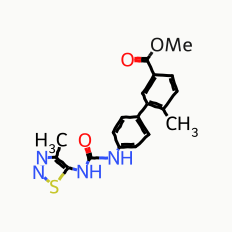 COC(=O)c1ccc(C)c(-c2ccc(NC(=O)Nc3snnc3C)cc2)c1